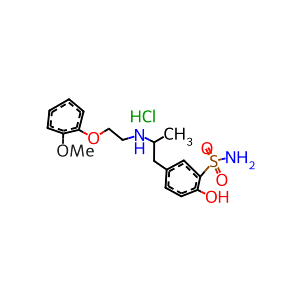 COc1ccccc1OCCNC(C)Cc1ccc(O)c(S(N)(=O)=O)c1.Cl